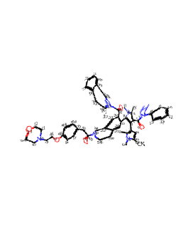 Cc1c(-c2c(C(=O)Nc3ccccc3)c(C)n(C)c2-c2cc3c(cc2C(=O)N2Cc4ccccc4C[C@H]2C)CN(C(=O)Cc2ccc(OCCN4CCOCC4)cc2)CC3)cc(C#N)n1C